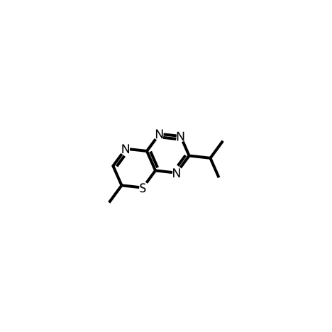 CC1C=Nc2nnc(C(C)C)nc2S1